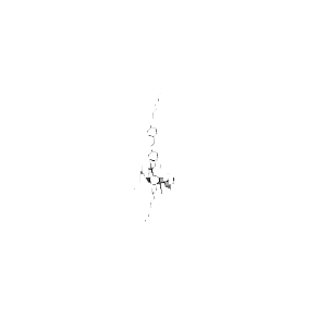 CCCCCCCCOc1cc(N)c(C(=O)Oc2ccc(C=Cc3ccc(CCCCCCCC)cc3)cc2)cc1[N+](=O)[O-]